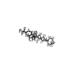 Cc1nc(C(F)(F)F)ccc1S(=O)(=O)N1CC2(CN(C3CCOCC3)C2)C1